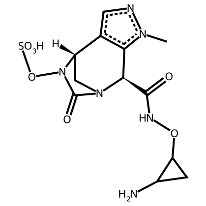 Cn1ncc2c1[C@@H](C(=O)NOC1CC1N)N1C[C@@H]2N(OS(=O)(=O)O)C1=O